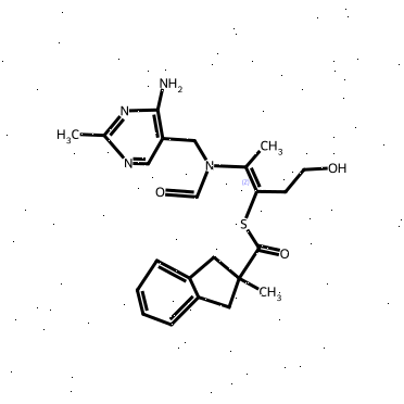 C/C(=C(\CCO)SC(=O)C1(C)Cc2ccccc2C1)N(C=O)Cc1cnc(C)nc1N